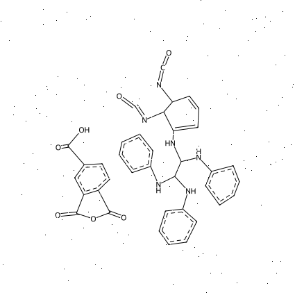 O=C(O)c1ccc2c(c1)C(=O)OC2=O.O=C=NC1C=CC=C(NC(Nc2ccccc2)C(Nc2ccccc2)Nc2ccccc2)C1N=C=O